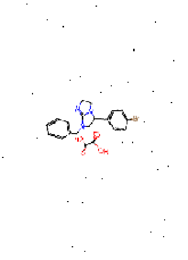 Brc1ccc(C2CN(Cc3ccccc3)C3=NCCN32)cc1.O=C(O)C(=O)O